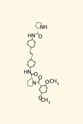 COc1ccc(OC)c(C(=O)N2CCC[C@H]2C(=O)Nc2ccc(/C=C/c3ccc(NC(=O)[C@@H]4CCCN4)cc3)cc2)c1